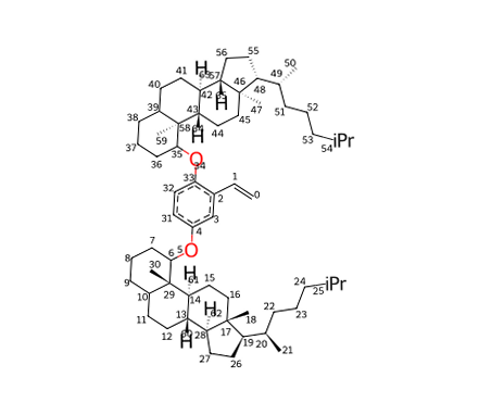 C=Cc1cc(OC2CCCC3CC[C@@H]4[C@H](CC[C@]5(C)[C@@H]([C@H](C)CCCC(C)C)CC[C@@H]45)[C@]32C)ccc1OC1CCCC2CC[C@@H]3[C@H](CC[C@]4(C)[C@@H]([C@H](C)CCCC(C)C)CC[C@@H]34)[C@]21C